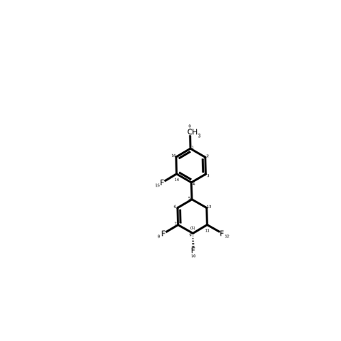 Cc1ccc(C2C=C(F)[C@@H](F)C(F)C2)c(F)c1